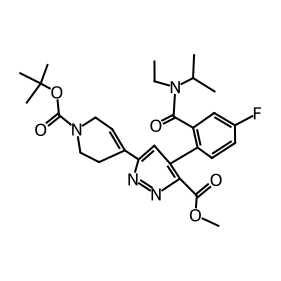 CCN(C(=O)c1cc(F)ccc1-c1cc(C2=CCN(C(=O)OC(C)(C)C)CC2)nnc1C(=O)OC)C(C)C